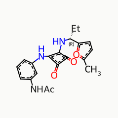 CC[C@@H](Nc1c(Nc2cccc(NC(C)=O)c2)c(=O)c1=O)c1ccc(C)o1